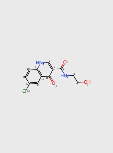 O=C(NCCO)c1c[nH]c2ccc(Cl)cc2c1=O